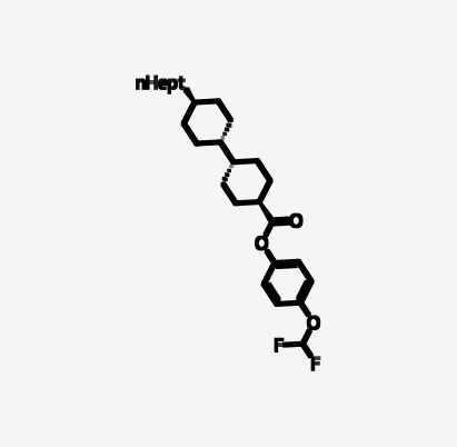 CCCCCCC[C@H]1CC[C@H]([C@H]2CC[C@H](C(=O)Oc3ccc(OC(F)F)cc3)CC2)CC1